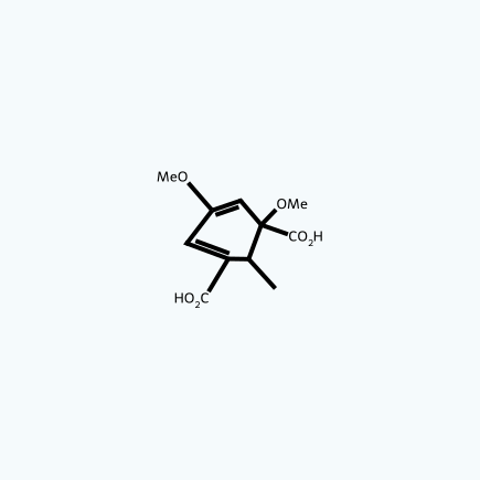 COC1=CC(OC)(C(=O)O)C(C)C(C(=O)O)=C1